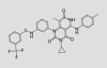 Cc1ccc(Nc2[nH]c(=O)c(C)c3c2c(=O)n(C2CC2)c(=O)n3-c2cccc(NSc3cccc(C(F)(F)F)c3)c2)cc1